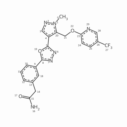 Cn1ncc(-c2nnc(-c3cccc(CC(N)=O)c3)o2)c1COc1ccc(C(F)(F)F)cn1